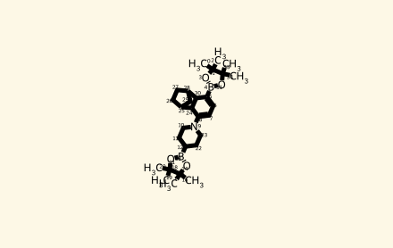 CC1(C)OB(C2=CC=C(N3CCC(B4OC(C)(C)C(C)(C)O4)CC3)C3C4CCC(C4)C23)OC1(C)C